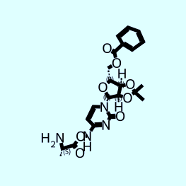 C[C@H](N)C(=O)ONc1ccn([C@@H]2O[C@H](COC(=O)c3ccccc3)[C@H]3OC(C)(C)O[C@H]32)c(=O)n1